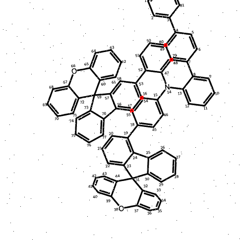 c1ccc(-c2ccc(-c3ccccc3N(c3ccc(-c4cccc5c4-c4ccccc4C54c5ccccc5Oc5ccccc54)cc3)c3ccccc3-c3ccc4c(c3)C3(c5ccccc5Oc5ccccc53)c3ccccc3-4)cc2)cc1